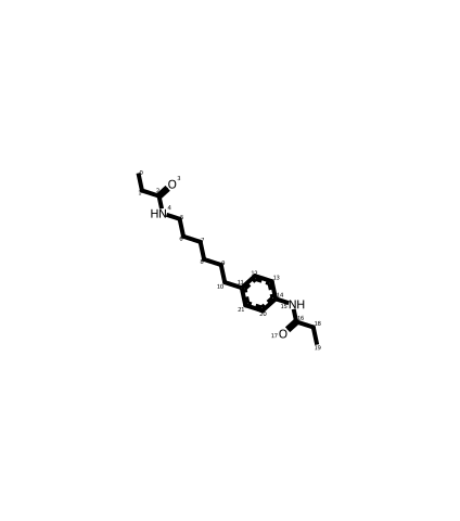 CCC(=O)NCCCCCCc1ccc(NC(=O)CC)cc1